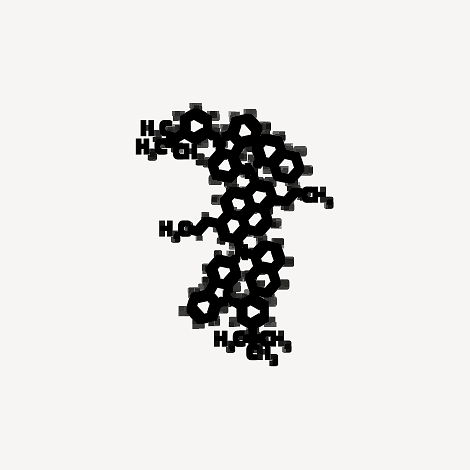 CCCc1cc(N(c2ccc3c4ccccc4n(-c4cccc(C(C)(C)C)c4)c3c2)c2cccc3c2CCCC3)c2ccc3c(CCC)cc(N(c4cccc5c4CCCC5)c4cccc5c4c4ccccc4n5-c4cccc(C(C)(C)C)c4)c4ccc1c2c34